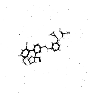 C=CC1(c2cc(COc3cccc([C@@H](CC(=O)O)C4CC4)c3)ccc2-c2cc(OC)ncc2F)CCCC1